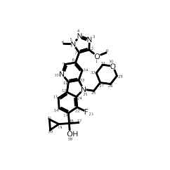 COc1nnn(C)c1-c1cnc2c3ccc(C(C)(O)C4CC4)c(F)c3n(CC3CCOCC3)c2c1